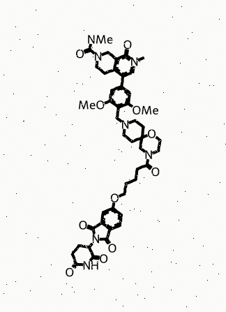 CNC(=O)N1CCc2c(-c3cc(OC)c(CN4CCC5(CC4)CN(C(=O)CCCCOc4ccc6c(c4)C(=O)N(C4CCC(=O)NC4=O)C6=O)CCO5)c(OC)c3)cn(C)c(=O)c2C1